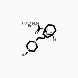 Br.Br.CC(=O)N1CCN(CCN2[C@@H]3C[CH]C[C@@]2(C(N)=O)CC3)CC1